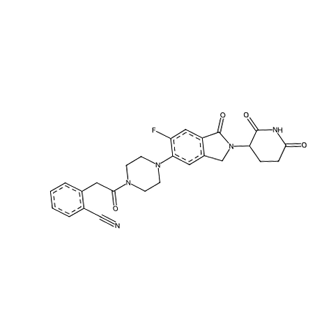 N#Cc1ccccc1CC(=O)N1CCN(c2cc3c(cc2F)C(=O)N(C2CCC(=O)NC2=O)C3)CC1